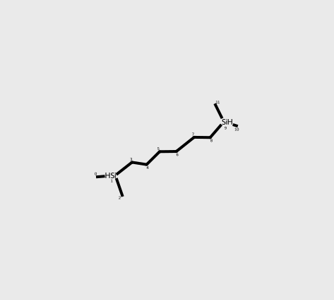 C[SiH](C)CCCCCC[SiH](C)C